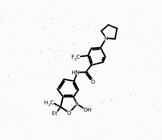 CCC1(C)OB(O)c2cc(NC(=O)c3ccc(N4CCCC4)cc3C(F)(F)F)ccc21